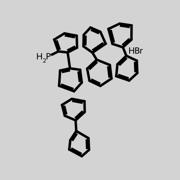 Br.Pc1ccccc1-c1ccccc1.c1ccc(-c2ccccc2)cc1.c1ccc(-c2ccccc2)cc1.c1ccc(-c2ccccc2)cc1